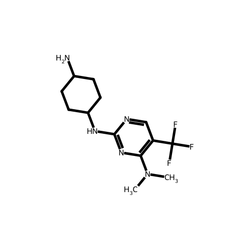 CN(C)c1nc(NC2CCC(N)CC2)ncc1C(F)(F)F